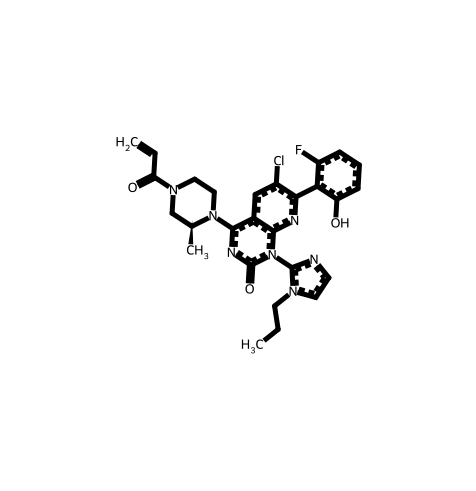 C=CC(=O)N1CCN(c2nc(=O)n(-c3nccn3CCC)c3nc(-c4c(O)cccc4F)c(Cl)cc23)[C@@H](C)C1